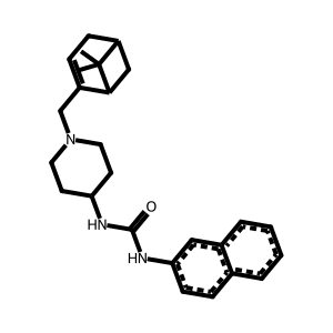 CC1(C)C2CC=C(CN3CCC(NC(=O)Nc4ccc5ccccc5c4)CC3)C1C2